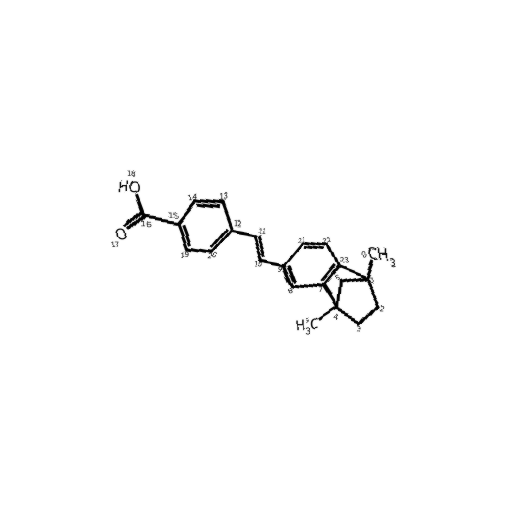 CC12CCC(C)(C1)c1cc(C=Cc3ccc(C(=O)O)cc3)ccc12